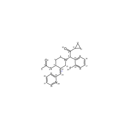 CC(=O)SC1CCN(C(C(=O)C2CC2)c2ccccc2F)C/C1=C/c1ccccn1